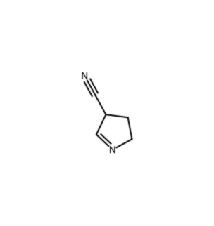 N#CC1C=NCC1